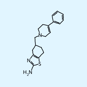 Nc1nc2c(s1)CCC(CN1CC=C(c3ccccc3)CC1)C2